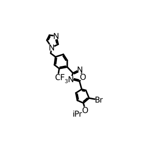 CC(C)Oc1ccc(-c2nc(-c3ccc(Cn4ccnc4)cc3C(F)(F)F)no2)cc1Br